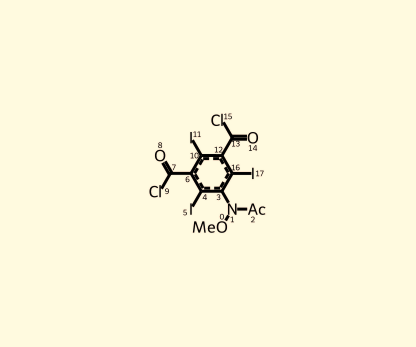 CON(C(C)=O)c1c(I)c(C(=O)Cl)c(I)c(C(=O)Cl)c1I